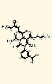 C=CCOC(=O)C1=C(C)N(c2cccc(C(F)F)c2)C(=N)N(C(N)=O)C1/C(Br)=C/C=C(/C#N)C=C